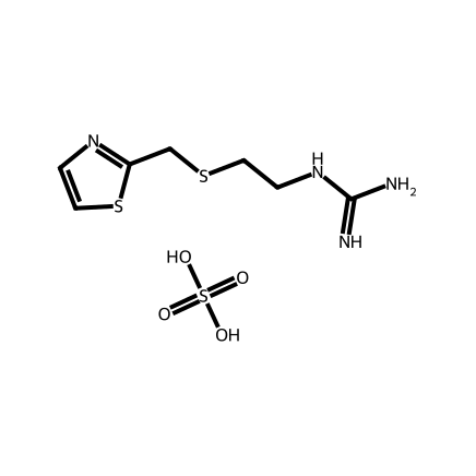 N=C(N)NCCSCc1nccs1.O=S(=O)(O)O